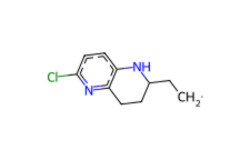 [CH2]CC1CCc2nc(Cl)ccc2N1